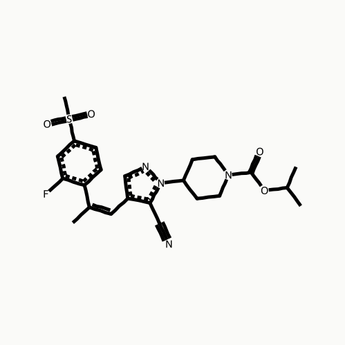 CC(=Cc1cnn(C2CCN(C(=O)OC(C)C)CC2)c1C#N)c1ccc(S(C)(=O)=O)cc1F